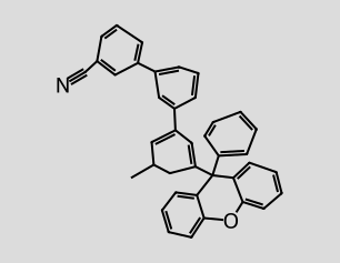 CC1C=C(c2cccc(-c3cccc(C#N)c3)c2)C=C(C2(c3ccccc3)c3ccccc3Oc3ccccc32)C1